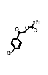 CCCC(=O)OCC(=O)c1ccc(Br)cc1